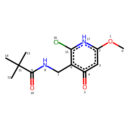 COc1cc(=O)c(CNC(=O)C(C)(C)C)c(Cl)[nH]1